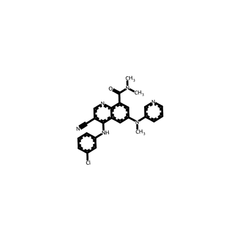 CN(C)C(=O)c1cc(N(C)c2cccnc2)cc2c(Nc3cccc(Cl)c3)c(C#N)cnc12